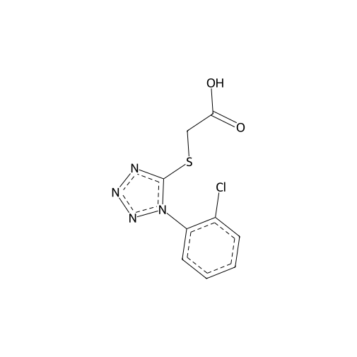 O=C(O)CSc1nnnn1-c1ccccc1Cl